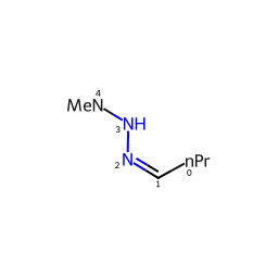 CCC/C=N\NNC